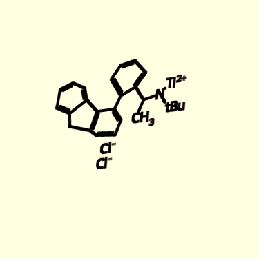 CC(c1ccccc1-c1cccc2c1-c1ccccc1C2)[N]([Ti+2])C(C)(C)C.[Cl-].[Cl-]